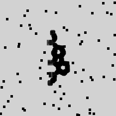 O=CNc1ccc2c(c1)[nH]c1c(NC=O)cccc12